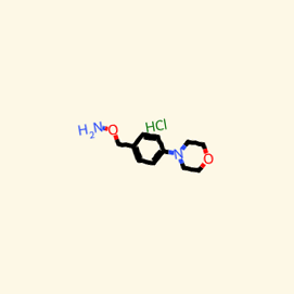 Cl.NOCc1ccc(N2CCOCC2)cc1